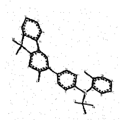 Cc1cc2c(cc1-c1ccc(N(c3ccccc3C)C(C)(C)C)cc1)-c1ccccc1C2(C)C